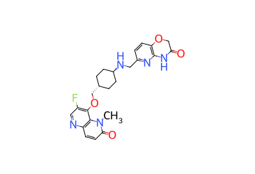 Cn1c(=O)ccc2ncc(F)c(OC[C@H]3CC[C@H](NCc4ccc5c(n4)NC(=O)CO5)CC3)c21